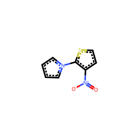 O=[N+]([O-])c1ccsc1-n1cccc1